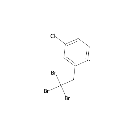 Clc1cc[c]c(CC(Br)(Br)Br)c1